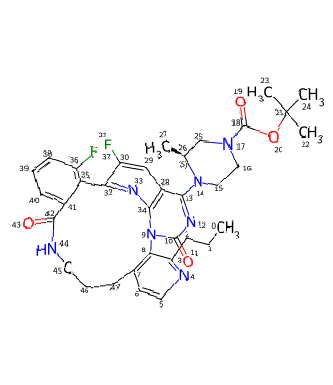 CCCc1nccc2c1-n1c(=O)nc(N3CCN(C(=O)OC(C)(C)C)C[C@@H]3C)c3cc(F)c(nc31)-c1c(F)cccc1C(=O)NCCC2